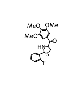 COc1cc(C(=O)C2CSC(c3ccccc3F)N2)cc(OC)c1OC